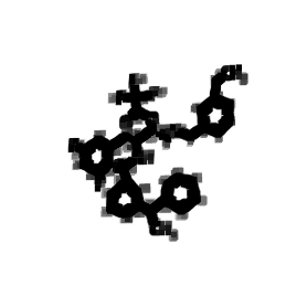 CCc1cccc(CNC[C@@H](OC(=O)C(F)(F)F)[C@H](Cc2cc(F)cc(F)c2)NC(=O)c2cccc(C(C)c3ccccc3)c2)c1